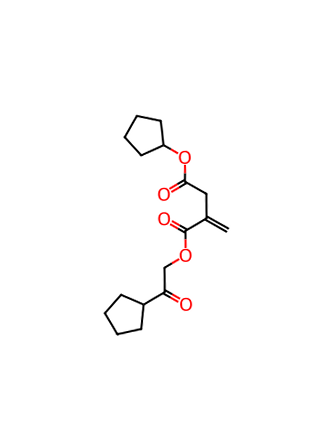 C=C(CC(=O)OC1CCCC1)C(=O)OCC(=O)C1CCCC1